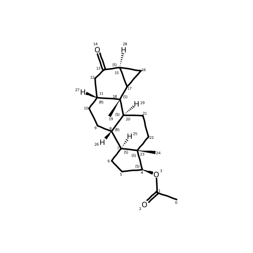 CC(=O)O[C@H]1CC[C@H]2[C@@H]3CC[C@@H]4CC(=O)[C@H]5CC5[C@]4(C)[C@H]3CC[C@]12C